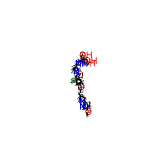 CCOc1cnc(N2CCC(CCCOc3ccc(CC(=O)N4CC[C@@H](CNCC(CO)(CO)CO)C4)c(F)c3)CC2)nc1